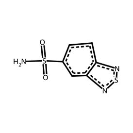 NS(=O)(=O)c1ccc2nsnc2c1